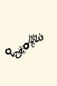 O=C(NCc1cccnc1)Nc1ccc(S(=O)(=O)N2CCCN(Cc3ccccc3)CC2)cc1